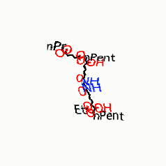 CCCCCC(OC(=O)CC)C(O)CCCCC(=O)NCNC(=O)CCCCC(O)C(CCCCC)OC(=O)CCCC(=O)OCCC